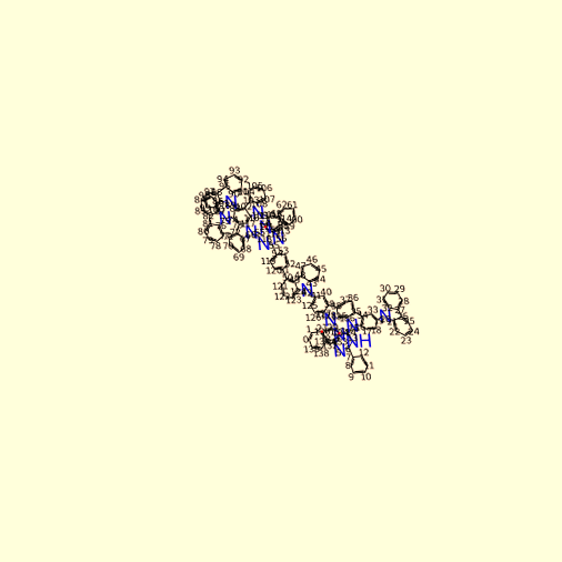 c1ccc(C2=NC(c3ccccc3)NC(n3c4ccc(-n5c6ccccc6c6ccccc65)cc4c4ccc5c6cc(-n7c8ccccc8c8c(-c9ccc(-c%10nc(-c%11ccccc%11)nc(-n%11c%12ccccc%12c%12c(-n%13c%14ccccc%14c%14ccccc%14%13)c(-n%13c%14ccccc%14c%14ccccc%14%13)c%13c%14ccccc%14n(-c%14ccccc%14)c%13c%12%11)n%10)cc9)cccc87)ccc6n(-c6ccccc6)c5c43)=N2)cc1